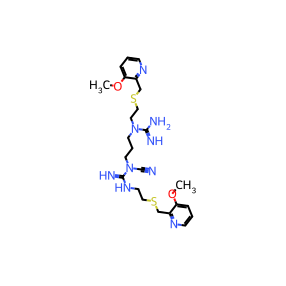 COc1cccnc1CSCCNC(=N)N(C#N)CCCN(CCSCc1ncccc1OC)C(=N)N